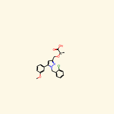 COc1cccc(-c2cc(CO[C@H](C)C(=O)O)nn2Cc2ccccc2Cl)c1